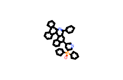 O=P(c1ccccc1)(c1ccccc1)c1cncc(-c2cc3c(-c4ccccc4)nc4c5ccccc5c5ccccc5c4c3c3ccccc23)c1